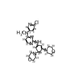 CN(c1ccc(Cl)nc1)c1ccnc(Nc2cc(N3CCOCC3)cc(N3CCOCC3)c2)n1